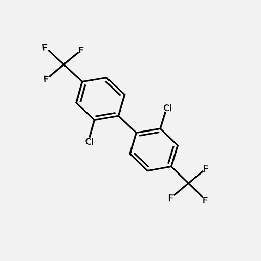 FC(F)(F)c1ccc(-c2ccc(C(F)(F)F)cc2Cl)c(Cl)c1